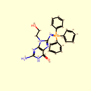 Nc1nc2c(nc(N=P(c3ccccc3)(c3ccccc3)c3ccccc3)n2CCO)c(=O)[nH]1